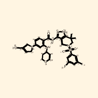 CC1(C)CN(S(=O)(=O)c2cc(F)cc(F)c2)Cc2c(NC(=O)c3ccc(N4CCC(O)C4)cc3NC3CCOCC3)n[nH]c21